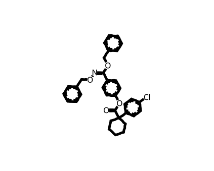 O=C(Oc1ccc(/C(=N\OCc2ccccc2)OCc2ccccc2)cc1)C1(c2ccc(Cl)cc2)CCCCC1